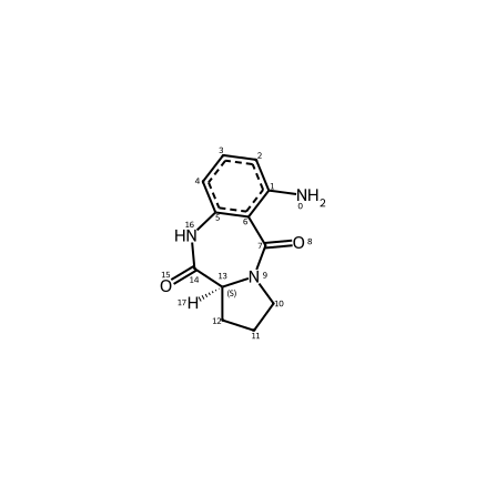 Nc1cccc2c1C(=O)N1CCC[C@H]1C(=O)N2